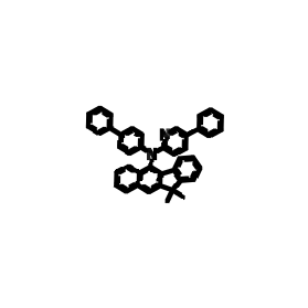 CC1(C)c2ccccc2-c2c1cc1ccccc1c2N(c1ccc(-c2ccccc2)cc1)c1ccc(-c2ccccc2)cn1